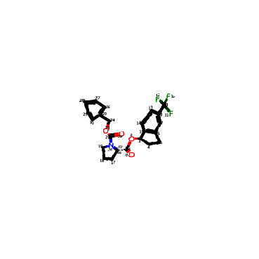 O=C(OC1CCc2cc(C(F)(F)F)ccc21)[C@@H]1CCCN1C(=O)OCc1ccccc1